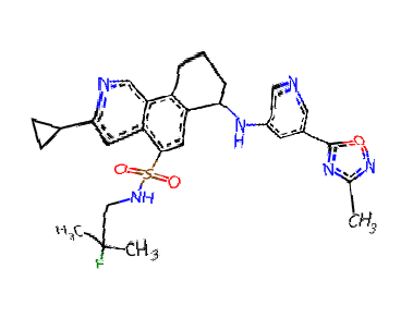 Cc1noc(-c2cncc(NC3CCCc4c3cc(S(=O)(=O)NCC(C)(C)F)c3cc(C5CC5)ncc43)c2)n1